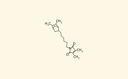 CC1=C(C)C(=O)N(CCCCCCC2CC3CC2C(C)C3C)C1=O